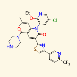 CCOc1ncc(Cl)cc1-n1c(C=C(C)C)c(C(=O)N2CCNCC2)cc(-c2nc(-c3ccc(C(F)(F)F)nc3)cs2)c1=O